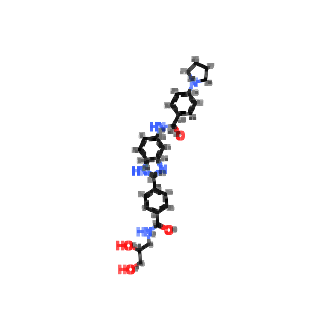 O=C(NCC(O)CO)c1ccc(-c2nc3cc(NC(=O)c4ccc(N5CCCC5)cc4)ccc3[nH]2)cc1